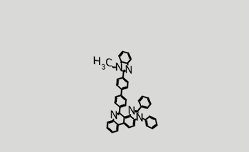 CCN1C(c2ccc(-c3ccc(-c4nc5ccccc5c5ccc6c(nc(-c7ccccc7)n6-c6ccccc6)c45)cc3)cc2)=NC2C=CC=CC21